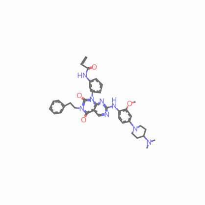 C=CC(=O)Nc1cccc(-n2c(=O)n(CCc3ccccc3)c(=O)c3cnc(Nc4ccc(N5CCC(N(C)C)CC5)cc4OC)nc32)c1